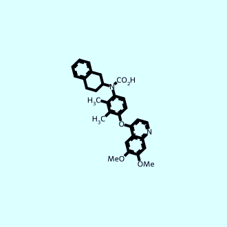 COc1cc2nccc(Oc3ccc(N(C(=O)O)C4CCc5ccccc5C4)c(C)c3C)c2cc1OC